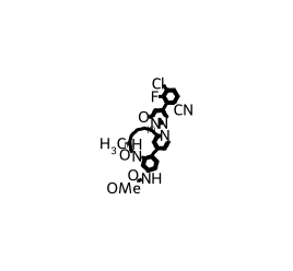 COC(=O)Nc1ccc2c(c1)NC(=O)[C@H](C)CCC[C@H](n1ncc(-c3c(C#N)ccc(Cl)c3F)cc1=O)c1cc-2ccn1